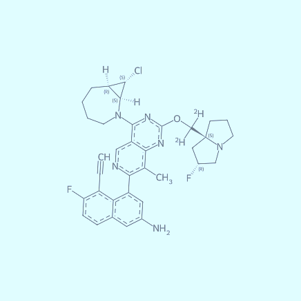 [2H]C([2H])(Oc1nc(N2CCCC[C@H]3[C@H](Cl)[C@H]32)c2cnc(-c3cc(N)cc4ccc(F)c(C#C)c34)c(C)c2n1)[C@@]12CCCN1C[C@H](F)C2